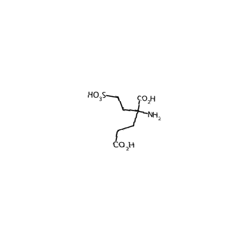 NC(CCC(=O)O)(CCS(=O)(=O)O)C(=O)O